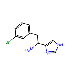 NC(Cc1cccc(Br)c1)c1c[nH]cn1